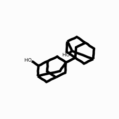 OC1C2CC3CC1CC(C14CC5CC(C1)C(O)C(C5)C4)(C3)C2